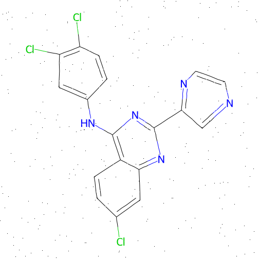 Clc1ccc2c(Nc3ccc(Cl)c(Cl)c3)nc(-c3cnccn3)nc2c1